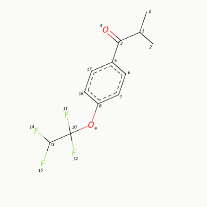 CC(C)C(=O)c1ccc(OC(F)(F)C(F)F)cc1